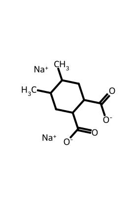 CC1CC(C(=O)[O-])C(C(=O)[O-])CC1C.[Na+].[Na+]